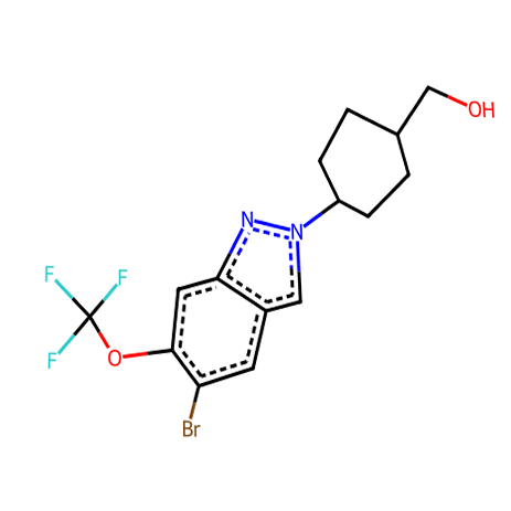 OCC1CCC(n2cc3cc(Br)c(OC(F)(F)F)cc3n2)CC1